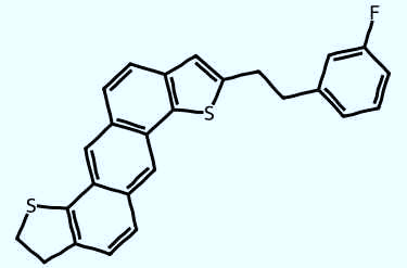 Fc1cccc(CCc2cc3ccc4cc5c6c(ccc5cc4c3s2)CCS6)c1